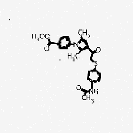 COC(=O)c1ccc(-n2c(C)cc(C(=O)CSc3ccc(NC(C)=O)cc3)c2C)cc1